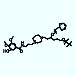 COc1cc(C(=O)NCCCN2CCCN(CCC(CCCO[Si](C)(C)C(C)(C)C)O/N=C/c3ccccc3)CC2)cc(O)c1OC